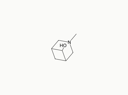 CN1CC2CC(C1)C2O